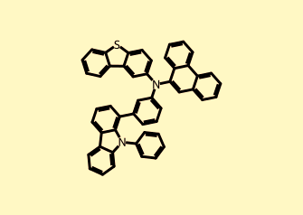 c1ccc(-n2c3ccccc3c3cccc(-c4cccc(N(c5ccc6sc7ccccc7c6c5)c5cc6ccccc6c6ccccc56)c4)c32)cc1